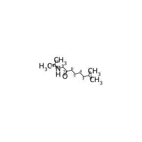 CC(C)CCCCC(=O)CNC(C)C